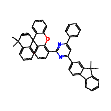 CC1(C)c2ccccc2-c2ccc(-c3cc(-c4ccccc4)nc(-c4cccc5c4Oc4ccccc4C54c5ccccc5C(C)(C)c5ccccc54)n3)cc21